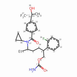 CCC(CCC(COC(N)=O)c1ccccc1F)N(C(=O)c1ccc([C@](C)(O)C(F)(F)F)cc1)C1CC1